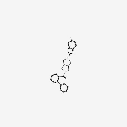 O=C(c1ccccc1-c1ccccc1)N1CC2CN(c3nc4ccc(Cl)cc4s3)CC2C1